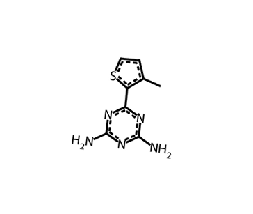 Cc1ccsc1-c1nc(N)nc(N)n1